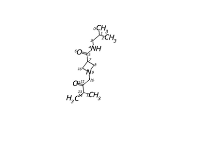 CC(C)CNC(=O)C1CN(CC(=O)C(C)C)C1